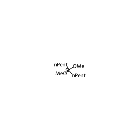 CCCCC[Si](CCCCC)(OC)OC